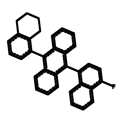 Fc1ccc(-c2c3ccccc3c(-c3cccc4c3CCCC4)c3ccccc23)c2ccccc12